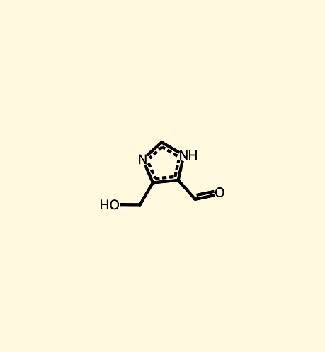 O=Cc1[nH]cnc1CO